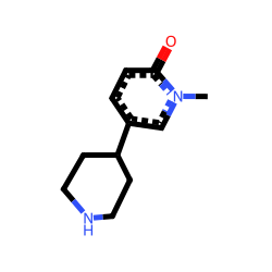 Cn1cc(C2CCNCC2)ccc1=O